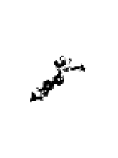 COC(=O)c1c(C)nc(-c2cc(-c3ccc4c(c3)CN([C@@H](C)C3CC3)C4=O)ccn2)n1COCC[Si](C)(C)C